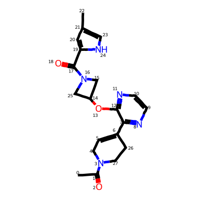 CC(=O)N1CC=C(c2nccnc2OC2CN(C(=O)c3cc(C)c[nH]3)C2)CC1